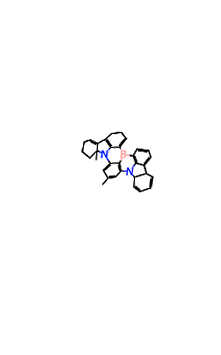 Cc1cc2c3c(c1)N1C4=C(CCC=C4B3c3cccc4c3N2C2C=CC=CC42)C2=CCCCC21C